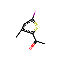 CC(=O)c1sc(I)cc1C